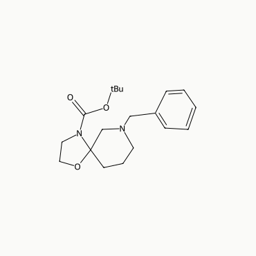 CC(C)(C)OC(=O)N1CCOC12CCCN(Cc1ccccc1)C2